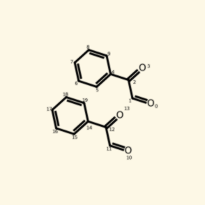 O=CC(=O)c1ccccc1.O=CC(=O)c1ccccc1